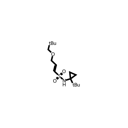 CC(C)(C)COC/C=C/S(=O)(=O)NC1(C(C)(C)C)CC1